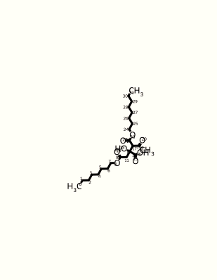 CCCCCCCCOC(=O)CC(O)(C(=O)O)C(C(C)=O)C(=O)OCCCCCCCC